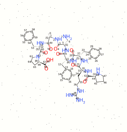 C[C@H](NC(=O)[C@H](CN)NC(=O)[C@@H](Cc1ccccc1)NC(=O)[C@H](Cc1ccccc1)NC(=O)[C@H](CCCNC(=N)N)NC(=O)[C@@H]1CCCN1)C(=O)N[C@@H](Cc1ccccc1)C(=O)N1CCC[C@@H]1C(=O)O